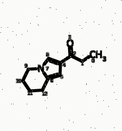 CCC(=O)c1cc2n(c1)CCCC2